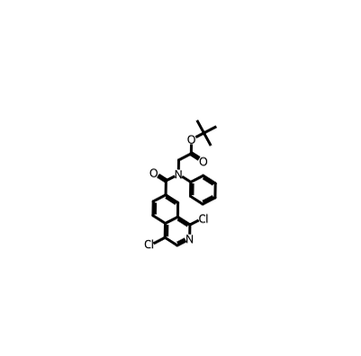 CC(C)(C)OC(=O)CN(C(=O)c1ccc2c(Cl)cnc(Cl)c2c1)c1ccccc1